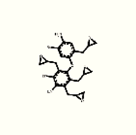 Nc1cc(CC2CO2)c(Oc2c(CC3CO3)c(Br)c(N)c(CC3CO3)c2CC2CO2)cc1Br